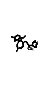 Cc1ccc2c(c1)c1c(n2C)C(CC(O)c2ccncc2)CCN(C)C1